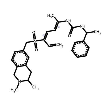 C=C/C(=C\C=C(/C)NC(=O)NC(C)c1ccccc1)S(=O)(=O)Cc1ccc2c(c1)CC(C)N(C)C2